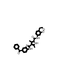 Cc1[nH]c(C(=O)Nc2ccc3c(c2)OOCC3)c(C)c1-c1nc2cc(C(=O)c3ccccc3)ccc2[nH]1